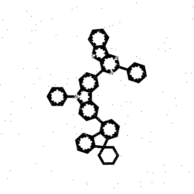 c1ccc(-c2nc(-c3ccc4c(c3)c3cc(-c5cccc6c5-c5ccccc5C65CCCCC5)ccc3n4-c3ccccc3)c3sc4ccccc4c3n2)cc1